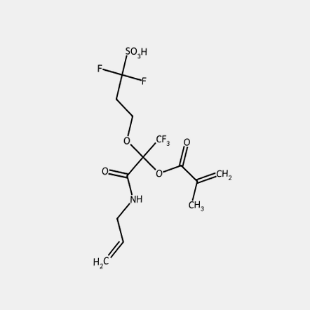 C=CCNC(=O)C(OCCC(F)(F)S(=O)(=O)O)(OC(=O)C(=C)C)C(F)(F)F